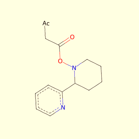 CC(=O)CC(=O)ON1CCCCC1c1ccccn1